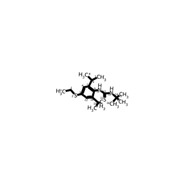 CCSc1cc(C(C)C)c(NC(=S)NC(C)(C)C)c(C(C)C)c1